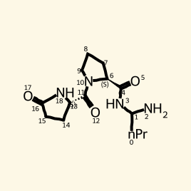 CCCC(N)NC(=O)[C@@H]1CCCN1C(=O)[C@@H]1CCC(=O)N1